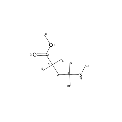 COC(=O)C(C)(C)CC(C)(C)SC